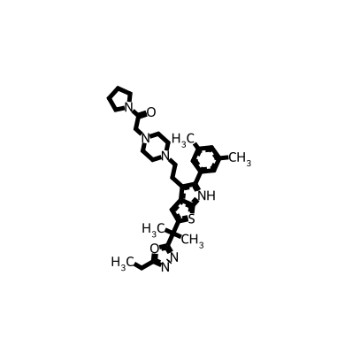 CCc1nnc(C(C)(C)c2cc3c(CCN4CCN(CC(=O)N5CCCC5)CC4)c(-c4cc(C)cc(C)c4)[nH]c3s2)o1